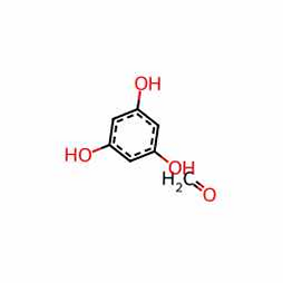 C=O.Oc1cc(O)cc(O)c1